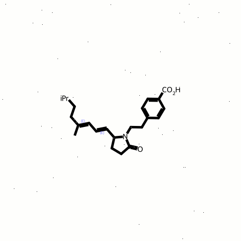 C/C(=C\C=C\C1CCC(=O)N1CCc1ccc(C(=O)O)cc1)CCC(C)C